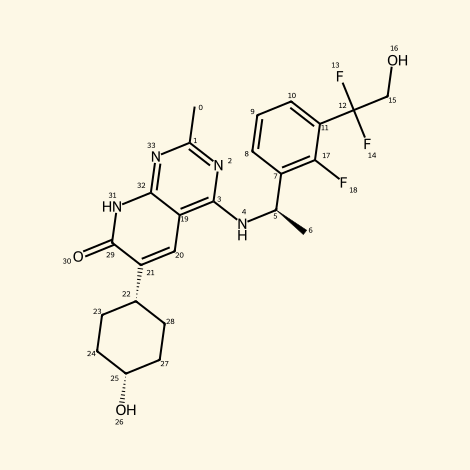 Cc1nc(N[C@H](C)c2cccc(C(F)(F)CO)c2F)c2cc([C@H]3CC[C@@H](O)CC3)c(=O)[nH]c2n1